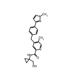 Cc1cnc(C(=O)NC2(CO)CC2)cc1Cc1ccc(-c2ccn(C)n2)cc1